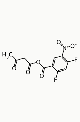 CC(=O)CC(=O)OC(=O)c1cc([N+](=O)[O-])c(F)cc1F